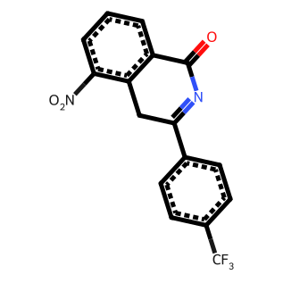 O=C1N=C(c2ccc(C(F)(F)F)cc2)Cc2c1cccc2[N+](=O)[O-]